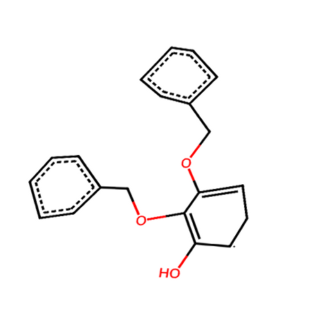 OC1=C(OCc2ccccc2)C(OCc2ccccc2)=CC[CH]1